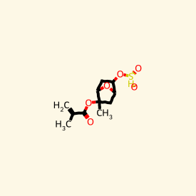 C=C(C)C(=O)OC1(C)CC2OC1CC2O[SH](=O)=O